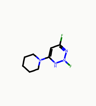 FC1=NN(F)NC(N2CCCCC2)=C1